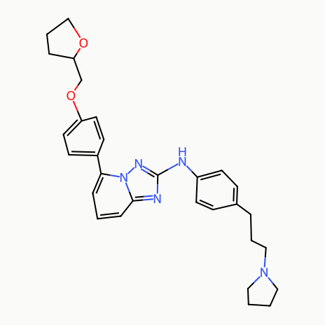 c1cc(-c2ccc(OCC3CCCO3)cc2)n2nc(Nc3ccc(CCCN4CCCC4)cc3)nc2c1